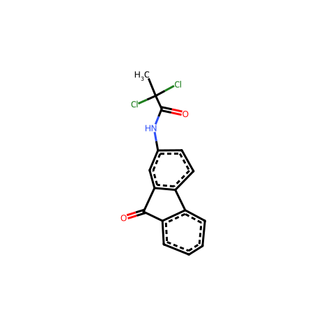 CC(Cl)(Cl)C(=O)Nc1ccc2c(c1)C(=O)c1ccccc1-2